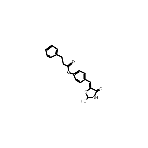 O=C(CCc1ccccc1)Oc1ccc(/C=C2\SC(O)NC2=O)cc1